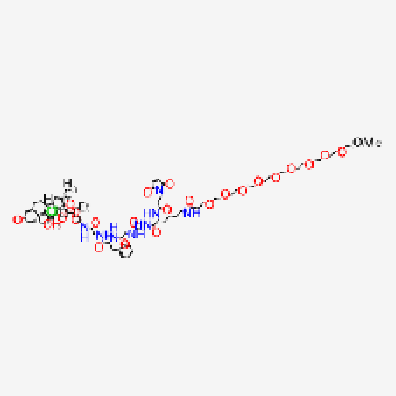 CCC(=O)O[C@]1(C(=O)COCNC(=O)CNC(=O)C(Cc2ccccc2)NC(=O)CNC(=O)CNC(=O)[C@H](CCCCNC(=O)CCOCCOCCOCCOCCOCCOCCOCCOCCOCCOC)NC(=O)CCN2C(=O)C=CC2=O)[C@@H](C)CC2[C@@H]3CCC4=CC(=O)C=C[C@]4(C)[C@@]3(Cl)[C@@H](O)C[C@@]21C